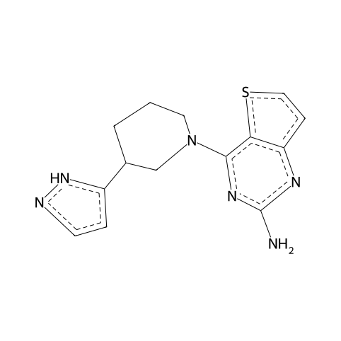 Nc1nc(N2CCCC(c3ccn[nH]3)C2)c2sccc2n1